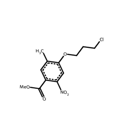 COC(=O)c1cc(C)c(OCCCCl)cc1[N+](=O)[O-]